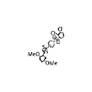 COc1ccc(OC)c(-c2csc(N3CCC(S(=O)(=O)c4cccc(Cl)c4Cl)CC3)n2)c1